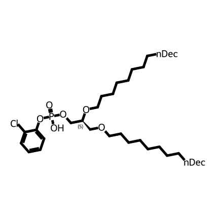 CCCCCCCCCCCCCCCCCCOC[C@@H](COP(=O)(O)Oc1ccccc1Cl)OCCCCCCCCCCCCCCCCCC